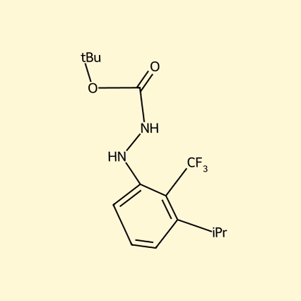 CC(C)c1cccc(NNC(=O)OC(C)(C)C)c1C(F)(F)F